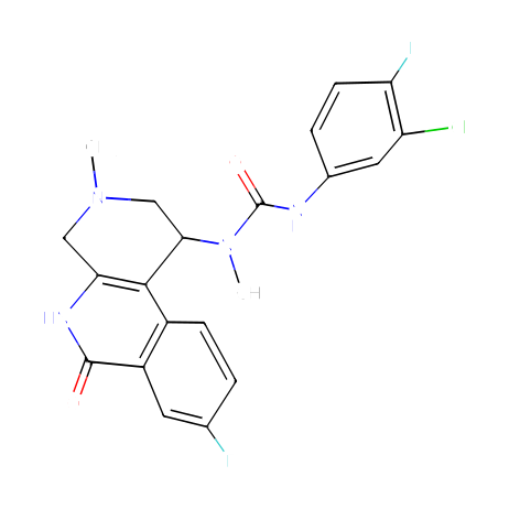 CN1Cc2[nH]c(=O)c3cc(F)ccc3c2C(N(C)C(=O)Nc2ccc(F)c(Cl)c2)C1